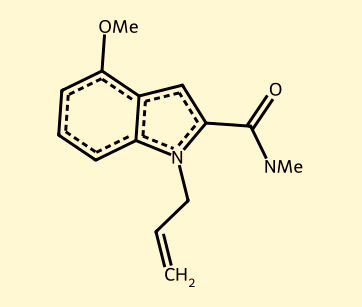 C=CCn1c(C(=O)NC)cc2c(OC)cccc21